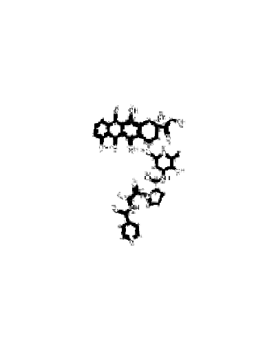 COc1cccc2c1C(=O)c1c(O)c3c(c(O)c1C2=O)C[C@@](O)(C(=O)CO)C[C@@H]3OC1CC(NC(=O)[C@@H]2CCCN2C(=O)[C@@H](C)NC(=O)c2ccncc2)C(O)C(C)O1